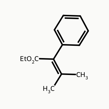 CCOC(=O)C(=C(C)C)c1ccccc1